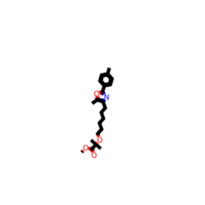 COC(=O)C(C)(C)OCCCCCCc1nc(-c2ccc(C)cc2)oc1C